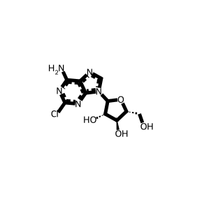 Nc1nc(Cl)nc2c1ncn2C1O[C@H](CO)[C@@H](O)[C@@H]1O